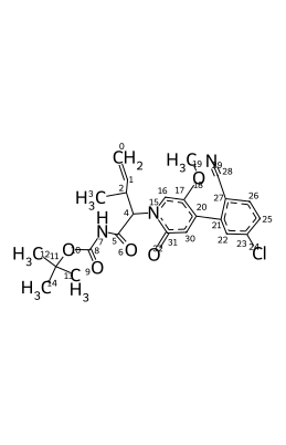 C=CC(C)C(C(=O)NC(=O)OC(C)(C)C)n1cc(OC)c(-c2cc(Cl)ccc2C#N)cc1=O